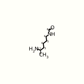 C[C@@H](N)CCCCNC=O